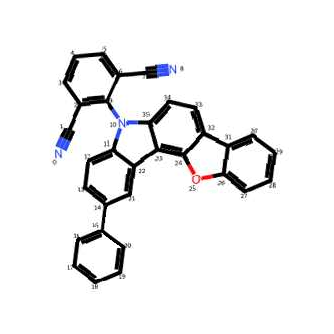 N#Cc1cccc(C#N)c1-n1c2ccc(-c3ccccc3)cc2c2c3oc4ccccc4c3ccc21